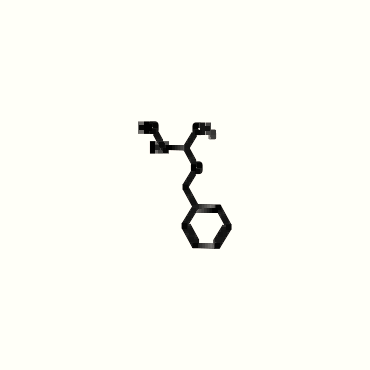 CC(NO)OCc1ccccc1